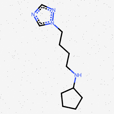 c1ncn(CCCCNC2CCCC2)n1